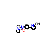 N#Cc1cccc(-c2ccc3nc([C@@H]4CCCN4C#N)oc3c2)n1